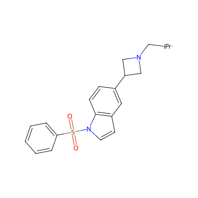 C[C](C)CN1CC(c2ccc3c(ccn3S(=O)(=O)c3ccccc3)c2)C1